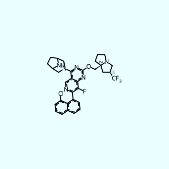 Fc1c(-c2cccc3cccc(Cl)c23)ncc2c(N3CC4CCC(C3)N4)nc(OC[C@@]34CCCN3C[C@@H](C(F)(F)F)C4)nc12